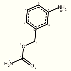 NC(=O)OCc1cccc(N)c1